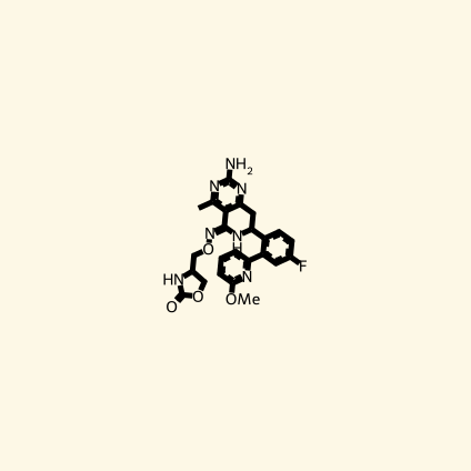 COc1cccc(-c2cc(F)ccc2C2Cc3nc(N)nc(C)c3C(=NOCC3COC(=O)N3)N2)n1